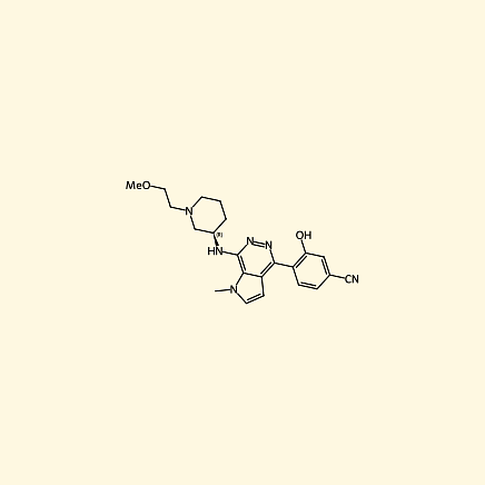 COCCN1CCC[C@@H](Nc2nnc(-c3ccc(C#N)cc3O)c3ccn(C)c23)C1